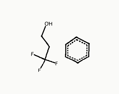 OCCC(F)(F)F.c1ccccc1